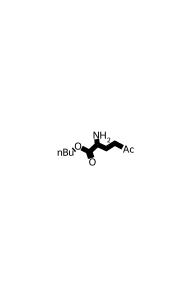 CCCCOC(=O)C(N)CCC(C)=O